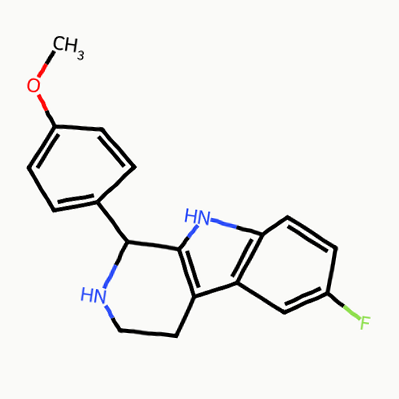 COc1ccc(C2NCCc3c2[nH]c2ccc(F)cc32)cc1